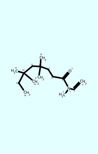 C=CN(C)C(=O)CCC(C)(C)CC(C)(C)CC